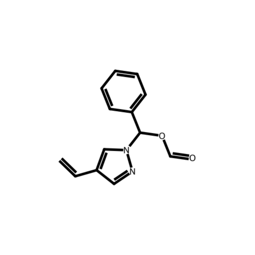 C=Cc1cnn(C(OC=O)c2ccccc2)c1